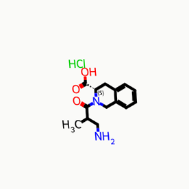 CC(CN)C(=O)N1Cc2ccccc2C[C@H]1C(=O)O.Cl